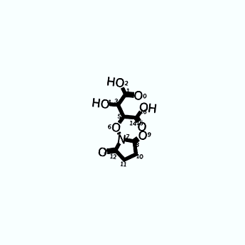 O=C(O)C(O)C(ON1C(=O)CCC1=O)C(=O)O